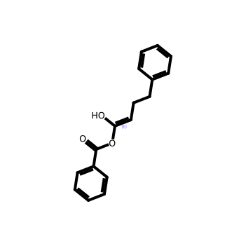 O=C(O/C(O)=C/CCc1ccccc1)c1ccccc1